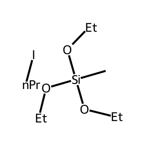 CCCI.CCO[Si](C)(OCC)OCC